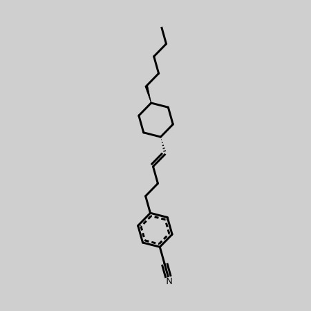 CCCCC[C@H]1CC[C@H](/C=C/CCc2ccc(C#N)cc2)CC1